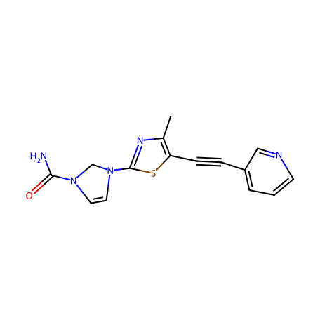 Cc1nc(N2C=CN(C(N)=O)C2)sc1C#Cc1cccnc1